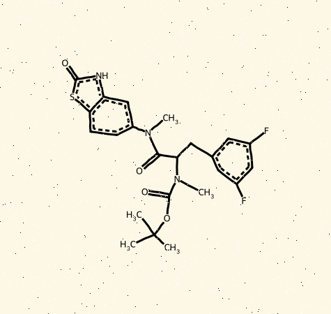 CN(C(=O)C(Cc1cc(F)cc(F)c1)N(C)C(=O)OC(C)(C)C)c1ccc2sc(=O)[nH]c2c1